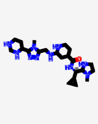 CN1CCNC1[C@@H](NC(=O)C1CCNC(NCC2N=NC(C3CCNCN3)N2C)C1)C1CC1